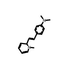 CN(C)c1ccc(C=CC2C=CC=CN2C)cc1